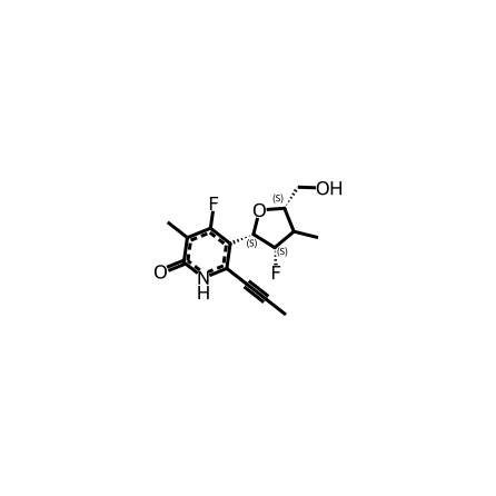 CC#Cc1[nH]c(=O)c(C)c(F)c1[C@@H]1O[C@H](CO)C(C)[C@@H]1F